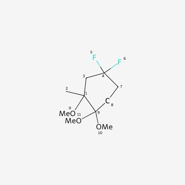 COC1(C)CC(F)(F)CCC1(OC)OC